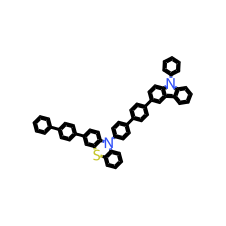 c1ccc(-c2ccc(-c3ccc4c(c3)Sc3ccccc3N4c3ccc(-c4ccc(-c5ccc6c(c5)c5ccccc5n6-c5ccccc5)cc4)cc3)cc2)cc1